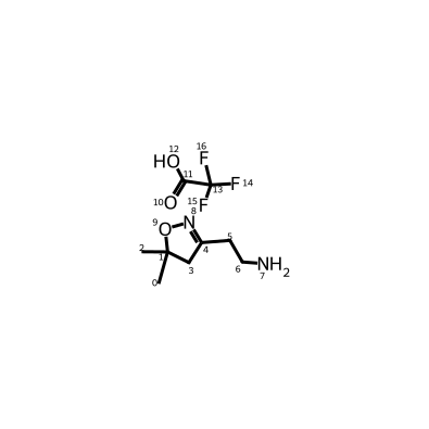 CC1(C)CC(CCN)=NO1.O=C(O)C(F)(F)F